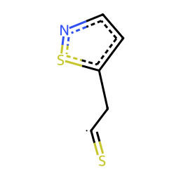 S=[C]Cc1ccns1